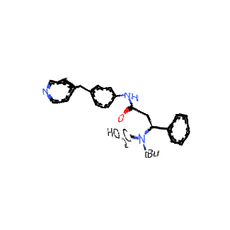 CC(C)(C)N(C(=O)O)[C@@H](CC(=O)Nc1ccc(-c2ccncc2)cc1)c1ccccc1